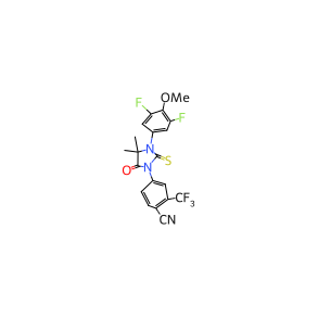 COc1c(F)cc(N2C(=S)N(c3ccc(C#N)c(C(F)(F)F)c3)C(=O)C2(C)C)cc1F